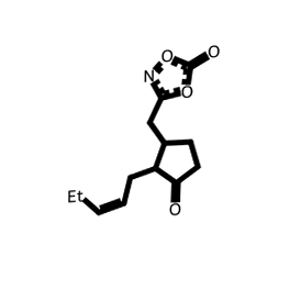 CC/C=C\CC1C(=O)CCC1Cc1noc(=O)o1